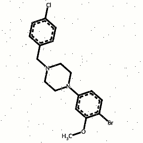 COc1cc(N2CCN(Cc3ccc(Cl)cc3)CC2)ccc1Br